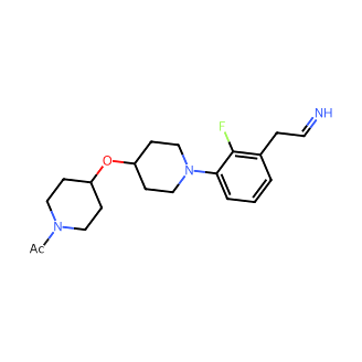 CC(=O)N1CCC(OC2CCN(c3cccc(CC=N)c3F)CC2)CC1